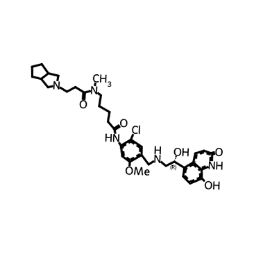 COc1cc(NC(=O)CCCCN(C)C(=O)CCN2CC3CCCC3C2)c(Cl)cc1CNC[C@H](O)c1ccc(O)c2[nH]c(=O)ccc12